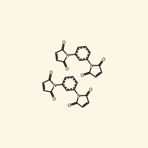 O=C1C=CC(=O)N1c1cccc(N2C(=O)C=CC2=O)c1.O=C1C=CC(=O)N1c1cccc(N2C(=O)C=CC2=O)c1